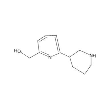 OCc1cccc(C2CCCNC2)n1